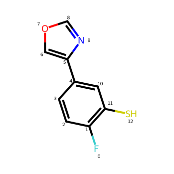 Fc1ccc(-c2cocn2)cc1S